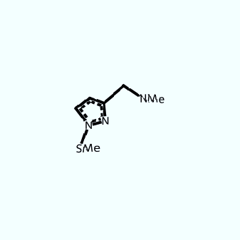 CNCc1ccn(SC)n1